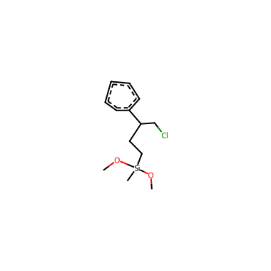 CO[Si](C)(CCC(CCl)c1ccccc1)OC